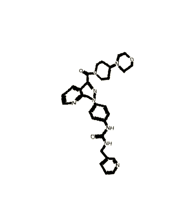 O=C(NCc1cccnc1)Nc1ccc(-n2nc(C(=O)N3CCC(N4CCOCC4)CC3)c3cccnc32)cc1